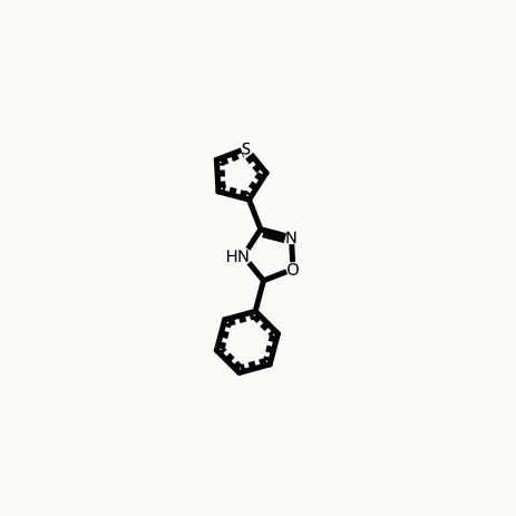 c1ccc(C2NC(c3ccsc3)=NO2)cc1